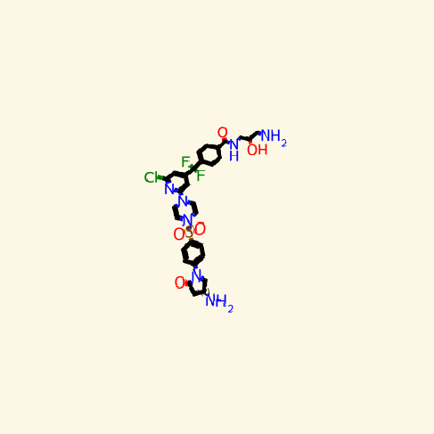 NCC(O)CNC(=O)C1CCC(C(F)(F)c2cc(Cl)nc(N3CCN(S(=O)(=O)c4ccc(N5C[C@H](N)CC5=O)cc4)CC3)c2)CC1